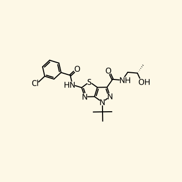 C[C@H](O)CNC(=O)c1nn(C(C)(C)C)c2nc(NC(=O)c3cccc(Cl)c3)sc12